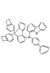 c1ccc(-c2ccc(N(c3cccc4c3-c3ccccc3C4(c3ccc4c(c3)CC4)c3ccc4c(c3)CC4)c3cccc4c3oc3ccccc34)cc2)cc1